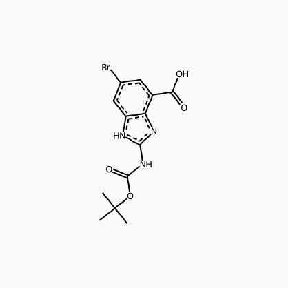 CC(C)(C)OC(=O)Nc1nc2c(C(=O)O)cc(Br)cc2[nH]1